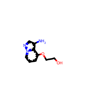 Nc1cnn2cccc(OCCO)c12